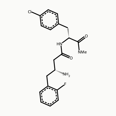 CNC(=O)[C@@H](Cc1ccc(Cl)cc1)NC(=O)C[C@H](N)Cc1ccccc1F